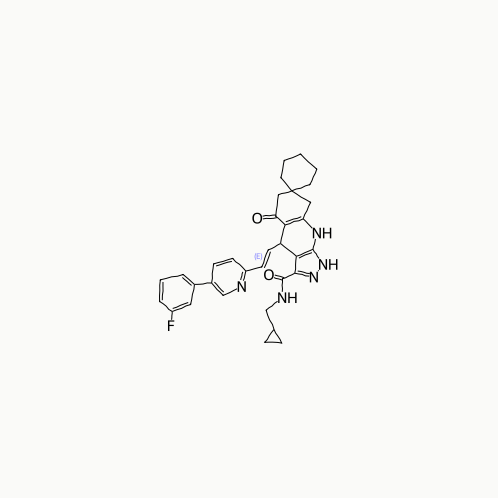 O=C1CC2(CCCCC2)CC2=C1C(/C=C/c1ccc(-c3cccc(F)c3)cn1)c1c(C(=O)NCC3CC3)n[nH]c1N2